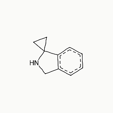 c1ccc2c(c1)CNC21CC1